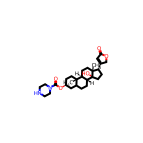 C[C@]12CC[C@H](OC(=O)N3CCNCC3)CC1CC[C@@H]1[C@@H]2CC[C@]2(C)[C@@H](C3=CC(=O)OC3)CC[C@]12O